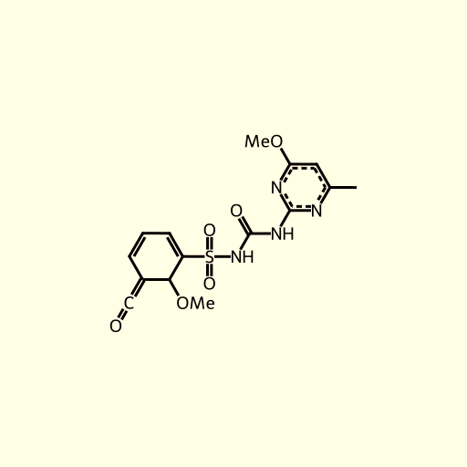 COc1cc(C)nc(NC(=O)NS(=O)(=O)C2=CC=CC(=C=O)C2OC)n1